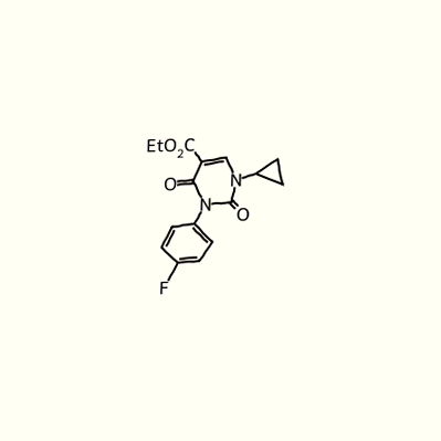 CCOC(=O)c1cn(C2CC2)c(=O)n(-c2ccc(F)cc2)c1=O